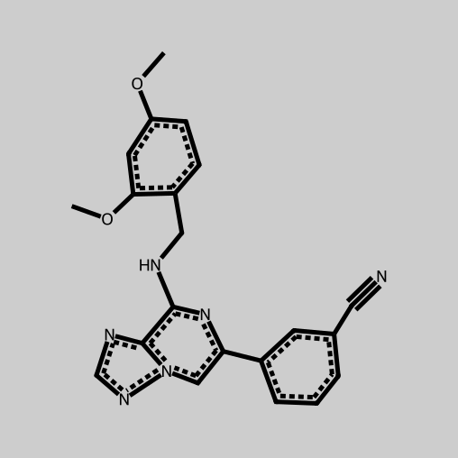 COc1ccc(CNc2nc(-c3cccc(C#N)c3)cn3ncnc23)c(OC)c1